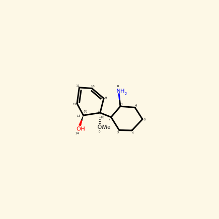 CO[C@@]1(C2CCCCC2N)C=CC=C[C@@H]1O